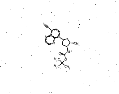 C[C@@H]1CN(c2ccc(C#N)c3nccnc23)C[C@@H]1NC(=O)OC(C)(C)C